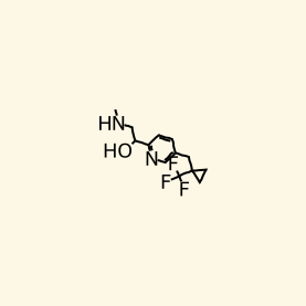 CNCC(O)c1ccc(CC2(C(F)(F)F)CC2)cn1